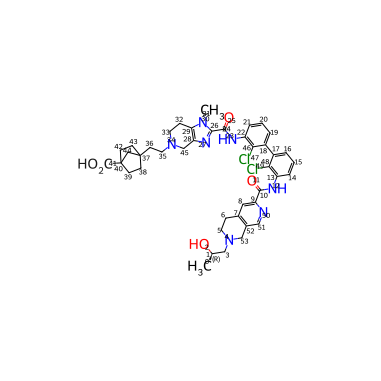 C[C@@H](O)CN1CCc2cc(C(=O)Nc3cccc(-c4cccc(NC(=O)c5nc6c(n5C)CCN(CCC57CCC(C(=O)O)(CC5)C7)C6)c4Cl)c3Cl)ncc2C1